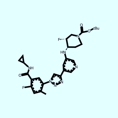 Cc1cc(F)c(C(=O)NC2CC2)cc1-n1cc(-c2cncc(N[C@H]3CCN(C(=O)OC(C)(C)C)C[C@H]3F)c2)nn1